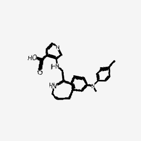 Cc1ccc(N(C)c2ccc3c(c2)CCCNC3CNc2cnccc2C(=O)O)cc1